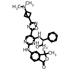 CN(C)C12CC(c3noc(-c4cnc(Nc5ccc6c(c5)C(C)(C)OC6=O)nc4N[C@H](CO)c4ccccc4)n3)(C1)C2